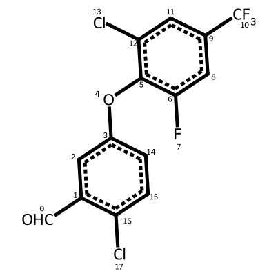 O=Cc1cc(Oc2c(F)cc(C(F)(F)F)cc2Cl)ccc1Cl